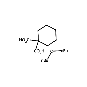 CCCCOCCCC.O=C(O)C1(C(=O)O)CCCCC1